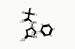 CC(F)(F)C(=O)N[C@@H]1CC(=O)N[C@H]1c1ccccc1